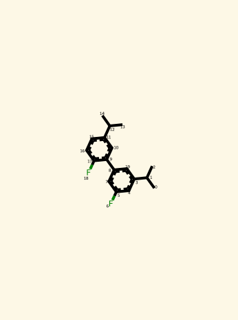 CC(C)c1cc(F)cc(-c2cc(C(C)C)ccc2F)c1